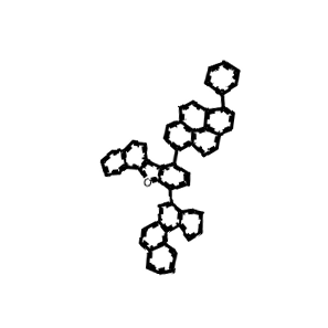 c1ccc(-c2ccc3ccc4c(-c5ccc(-c6cc7ccc8ccccc8c7c7ccccc67)c6oc7c8ccccc8ccc7c56)ccc5ccc2c3c54)cc1